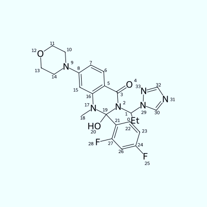 CCC(N1C(=O)c2ccc(N3CCOCC3)cc2N(C)C1(O)c1ccc(F)cc1F)n1cncn1